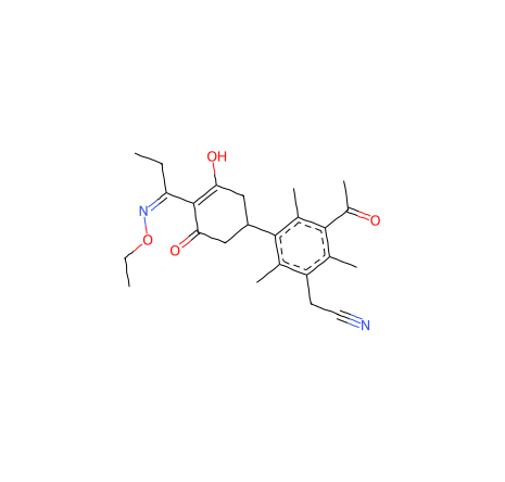 CCO/N=C(/CC)C1=C(O)CC(c2c(C)c(CC#N)c(C)c(C(C)=O)c2C)CC1=O